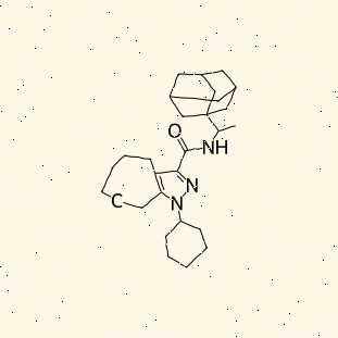 CC(NC(=O)c1nn(C2CCCCC2)c2c1CCCCCC2)C12CC3CC(CC(C3)C1)C2